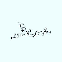 CCOC(Cc1ccc(OCCN(CCOCc2ccc(F)cc2)C(=O)NCc2ccc(F)cc2F)cc1)C(=O)O